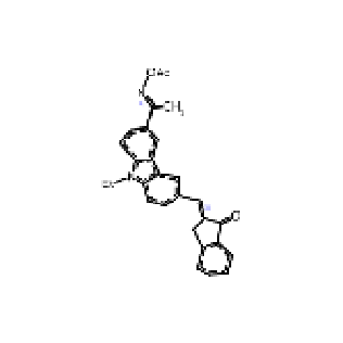 CCn1c2ccc(/C=C3\Cc4ccccc4C3=O)cc2c2cc(/C(C)=N/OC(C)=O)ccc21